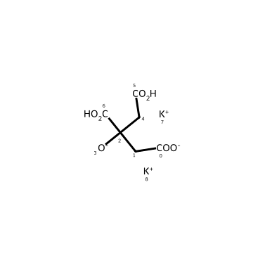 O=C([O-])CC([O-])(CC(=O)O)C(=O)O.[K+].[K+]